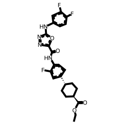 CCOC(=O)[C@H]1CC[C@H](c2ccc(NC(=O)c3nnc(Nc4ccc(F)c(F)c4)o3)c(F)c2)CC1